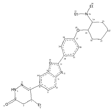 CCC1CC(=O)NN=C1c1ccc2nc(-c3ccc(OC4CCCCC4N(CC)CC)cc3)oc2c1